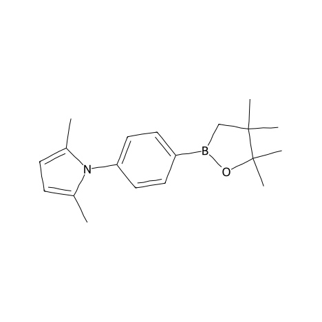 Cc1ccc(C)n1-c1ccc(B2CC(C)(C)C(C)(C)O2)cc1